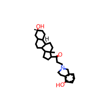 CC12CC[C@@H]3C4CC[C@@](C)(O)CC4CCC3C1CCC2C(=O)CCN1CCc2c(O)cccc2C1